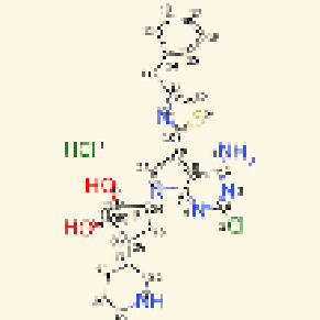 Cl.Nc1nc(Cl)nc2c1c(-c1nc(Cc3ccccc3)cs1)cn2[C@@H]1C[C@H](C2CCCNC2)[C@@H](O)[C@H]1O